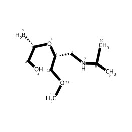 B[C@@H](CO)O[C@H](CNC(C)C)COC